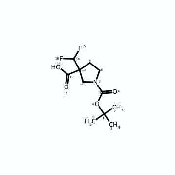 CC(C)(C)OC(=O)N1CCC(C(=O)O)(C(F)F)C1